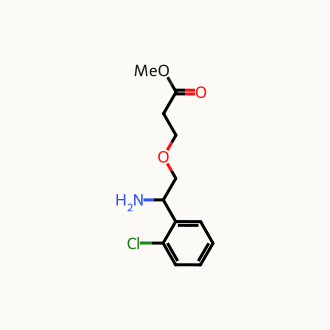 COC(=O)CCOCC(N)c1ccccc1Cl